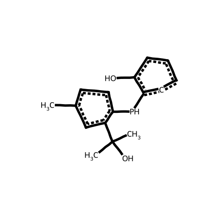 Cc1ccc(Pc2ccccc2O)c(C(C)(C)O)c1